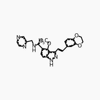 COc1c(C(=O)NCc2cnccn2)ccc2[nH]nc(/C=C/c3ccc4c(c3)OCCO4)c12